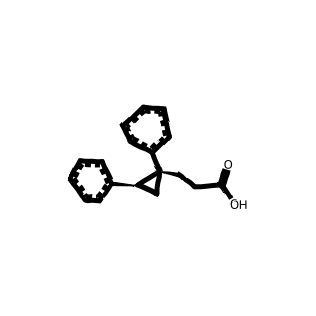 O=C(O)CC[C@@]1(c2ccccc2)C[C@H]1c1ccccc1